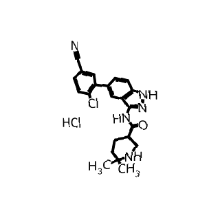 CC1(C)CCC(C(=O)Nc2n[nH]c3ccc(-c4cc(C#N)ccc4Cl)cc23)CN1.Cl